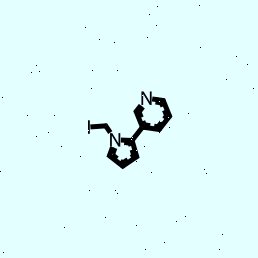 ICn1cccc1-c1cccnc1